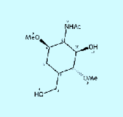 CO[C@@H]1C(CO)C[C@@H](OC)C(NC(C)=O)[C@H]1O